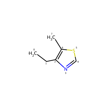 [CH2]Cc1ncsc1C